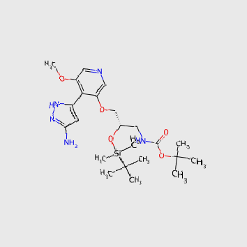 COc1cncc(OC[C@H](CNC(=O)OC(C)(C)C)O[Si](C)(C)C(C)(C)C)c1-c1cc(N)n[nH]1